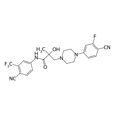 CC(O)(CN1CCN(c2ccc(C#N)c(F)c2)CC1)C(=O)Nc1ccc(C#N)c(C(F)(F)F)c1